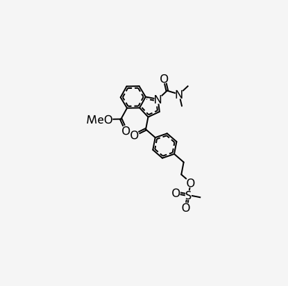 COC(=O)c1cccc2c1c(C(=O)c1ccc(CCOS(C)(=O)=O)cc1)cn2C(=O)N(C)C